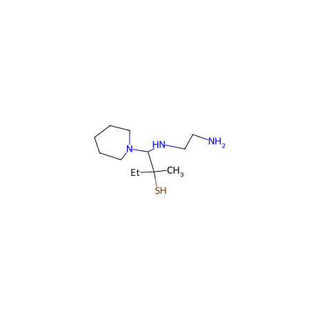 CCC(C)(S)C(NCCN)N1CCCCC1